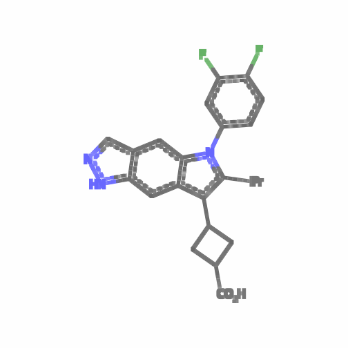 CC(C)c1c(C2CC(C(=O)O)C2)c2cc3[nH]ncc3cc2n1-c1ccc(F)c(F)c1